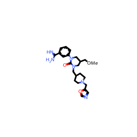 COCC1CN(CC2CCN(Cc3cnco3)CC2)C(=O)N(c2cccc(C(=N)N)c2)C1